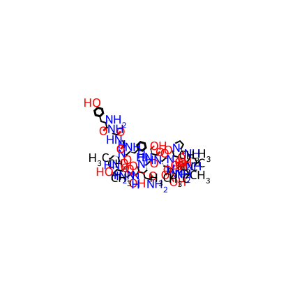 CC(C)C[C@H](NC(=O)[C@H](Cc1ccccc1)NC(=O)CNC(=O)CNC(=O)[C@@H](N)Cc1ccc(O)cc1)C(=O)N[C@H](C(=O)N[C@@H](CO)C(=O)N[C@@H](CCC(N)=O)C(=O)N[C@@H](CCCCN)C(=O)N[C@@H](CO)C(=O)N[C@@H](CCC(N)=O)C(=O)N[C@H](C(=O)N1CCC[C@H]1C(=O)N[C@@H](CC(C)C)C(=O)N[C@H](C(=O)N[C@H](C(=O)O)[C@@H](C)O)C(C)C)[C@@H](C)O)[C@@H](C)O